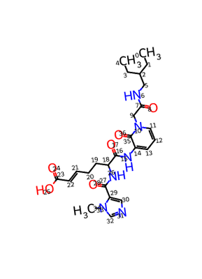 CCC(CC)CNC(=O)Cn1cccc(NC(=O)C(CCC=CC(=O)O)NC(=O)c2cncn2C)c1=O